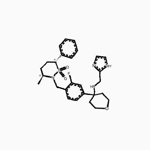 C[C@H]1CC[C@H](c2ccccc2)S(=O)(=O)N1Cc1ccc(C2(NCc3ncc[nH]3)CCOCC2)cc1F